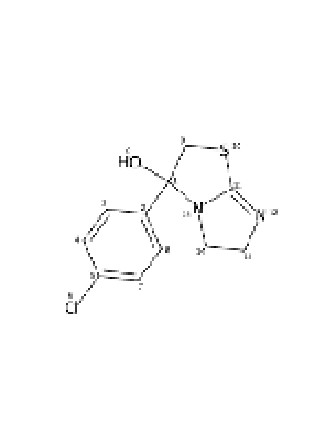 OC1(c2ccc(Cl)cc2)CSC2=NCCN21